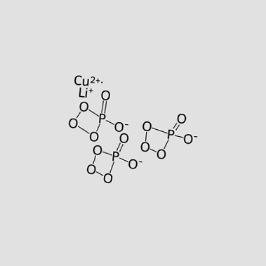 O=P1([O-])OOO1.O=P1([O-])OOO1.O=P1([O-])OOO1.[Cu+2].[Li+]